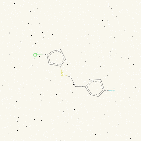 Fc1ccc(CCSc2cccc(Cl)c2)cc1